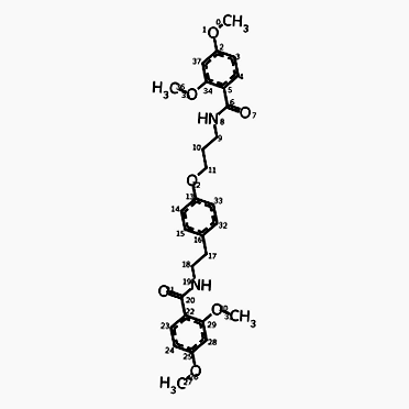 COc1ccc(C(=O)NCCCOc2ccc(CCNC(=O)c3ccc(OC)cc3OC)cc2)c(OC)c1